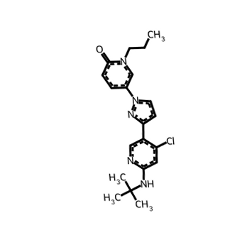 CCCn1cc(-n2ccc(-c3cnc(NC(C)(C)C)cc3Cl)n2)ccc1=O